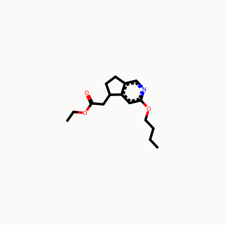 CCCCOc1cc2c(cn1)CCC2CC(=O)OCC